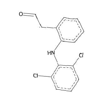 O=C[CH]c1ccccc1Nc1c(Cl)cccc1Cl